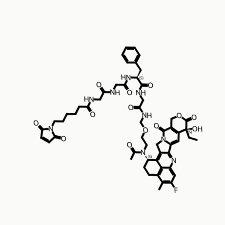 CC[C@@]1(O)C(=O)OCc2c1cc1n(c2=O)Cc2c-1nc1cc(F)c(C)c3c1c2[C@@H](N(CCOCNC(=O)CNC(=O)[C@H](Cc1ccccc1)NC(=O)CNC(=O)CNC(=O)CCCCCN1C(=O)C=CC1=O)C(C)=O)CC3